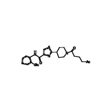 CC(=O)CCCC(=O)N1CCC(c2nc(C(=O)Nc3ccccc3C(C)(C)C)cs2)CC1